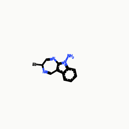 CCC1C=Nc2c(c3ccccc3n2N)C=N1